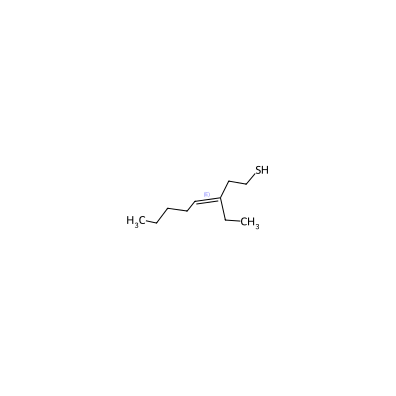 CCCC/C=C(\CC)CCS